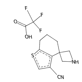 N#Cc1csc2c1C1(CCC2)CNC1.O=C(O)C(F)(F)F